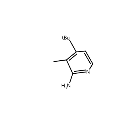 Cc1c(C(C)(C)C)ccnc1N